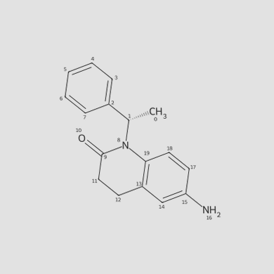 C[C@@H](c1ccccc1)N1C(=O)CCc2cc(N)ccc21